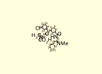 CN[C@H](CNC(=O)c1cccc(C(OCCN(C)C(=O)O)c2cccc(Cl)c2)c1)CC1CCCCC1